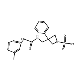 CCCS(=O)(=O)N1CC(CNC(=O)Nc2cccc(F)c2)(c2ccccn2)C1